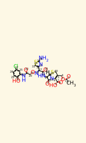 CC(=O)OCC1=C(C(=O)O)N2C(=O)[C@@H](NC(=O)C(=NOCC(=O)Nc3cc(Cl)ccc3O)c3csc(N)n3)[C@H]2SC1